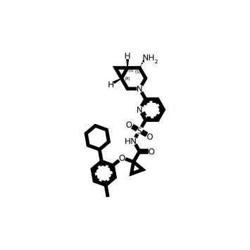 Cc1ccc(C2CCCCC2)c(OC2(C(=O)NS(=O)(=O)c3cccc(N4C[C@@H]5C[C@@H]5[C@H](N)C4)n3)CC2)c1